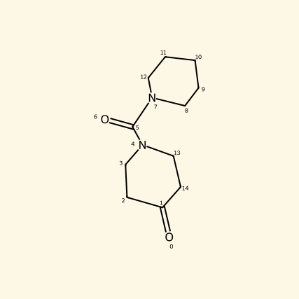 O=C1CCN(C(=O)N2CCCCC2)CC1